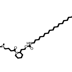 CCCCCCCCCCCCCCCCCCNC(=O)OCCC1CCCCN1C(=O)CCCN(C)C